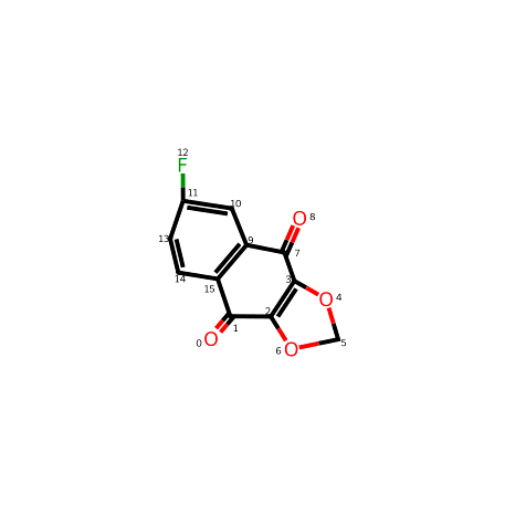 O=C1C2=C(OCO2)C(=O)c2cc(F)ccc21